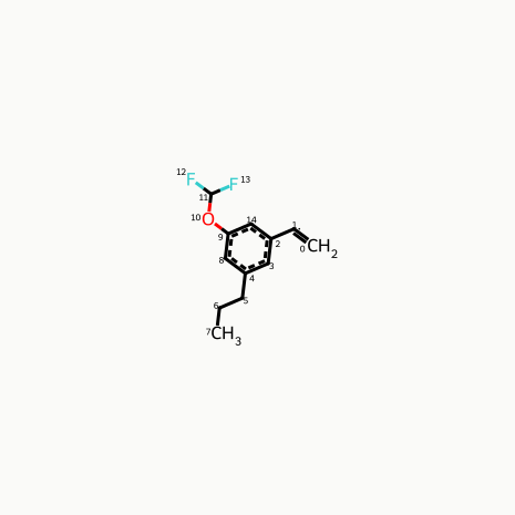 C=[C]c1cc(CCC)cc(OC(F)F)c1